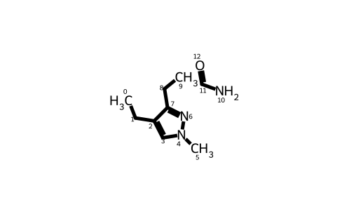 CCc1cn(C)nc1CC.NC=O